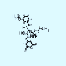 CCCCS(=O)(=O)NC(Cc1cc(F)cc(F)c1)C(O)CNCc1cccc(OC)c1